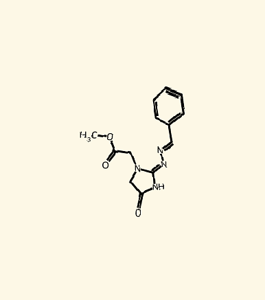 COC(=O)CN1CC(=O)NC1=NN=Cc1ccccc1